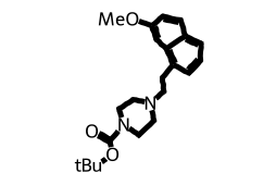 COc1ccc2cccc(CCN3CCN(C(=O)OC(C)(C)C)CC3)c2c1